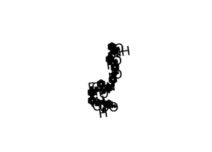 CCOc1cc(OC)ccc1CNCC(=O)N1CCCC(c2ccc(F)c(C(=O)N[C@@H](C(=O)N3CCN(CC4CCN(CC(=O)N5CCN(C(=O)c6cc(Cc7n[nH]c(=O)c8ccccc78)ccc6F)CC5)CC4)CC3)C3CCCCC3)c2)C1